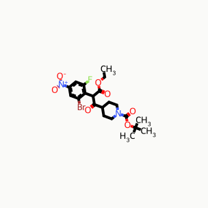 CCOC(=O)C(C(=O)C1CCN(C(=O)OC(C)(C)C)CC1)c1c(F)cc([N+](=O)[O-])cc1Br